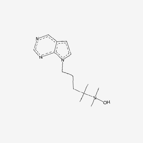 CC(C)(CCCn1ccc2cncnc21)[Si](C)(C)O